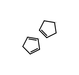 [C]1=[C]CC=C1.[C]1CC=CC1